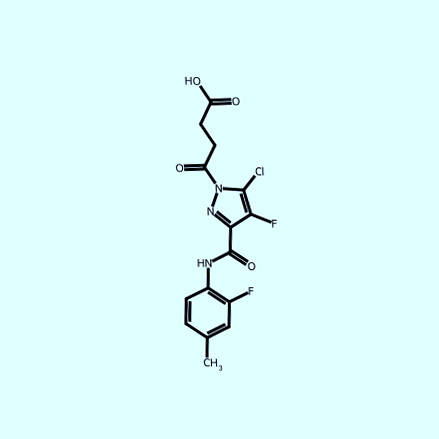 Cc1ccc(NC(=O)c2nn(C(=O)CCC(=O)O)c(Cl)c2F)c(F)c1